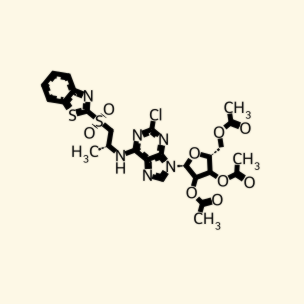 CC(=O)OC[C@H]1O[C@@H](n2cnc3c(N[C@H](C)CS(=O)(=O)c4nc5ccccc5s4)nc(Cl)nc32)C(OC(C)=O)C1OC(C)=O